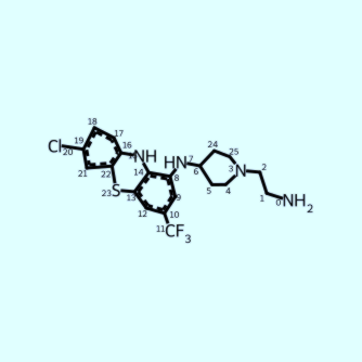 NCCN1CCC(Nc2cc(C(F)(F)F)cc3c2Nc2ccc(Cl)cc2S3)CC1